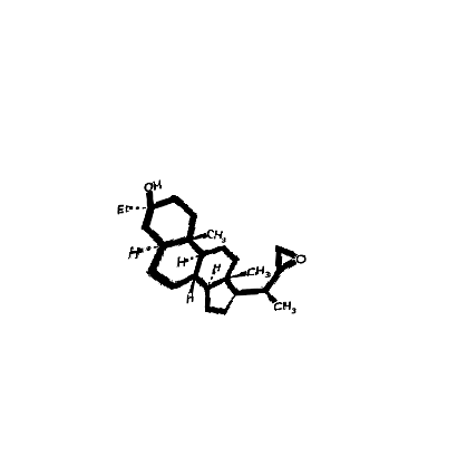 CC[C@]1(O)CC[C@@]2(C)[C@@H](CC[C@@H]3[C@@H]2CC[C@]2(C)[C@@H]([C@H](C)C4CO4)CC[C@@H]32)C1